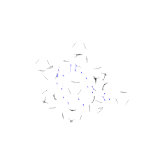 c1ccc(-c2cc(-c3ccccc3)nc(-c3c(-n4c5ccccc5c5ccccc54)c(-n4c5ccccc5c5ccccc54)c(-n4c5ccccc5c5ccc6c(c7ccccc7n6-c6ccccc6)c54)c(-n4c5ccccc5c5ccccc54)c3-n3c4ccccc4c4ccccc43)n2)cc1